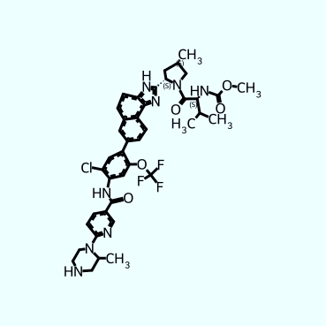 COC(=O)N[C@H](C(=O)N1C[C@@H](C)C[C@H]1c1nc2c(ccc3cc(-c4cc(Cl)c(NC(=O)c5ccc(N6CCNCC6C)nc5)cc4OC(F)(F)F)ccc32)[nH]1)C(C)C